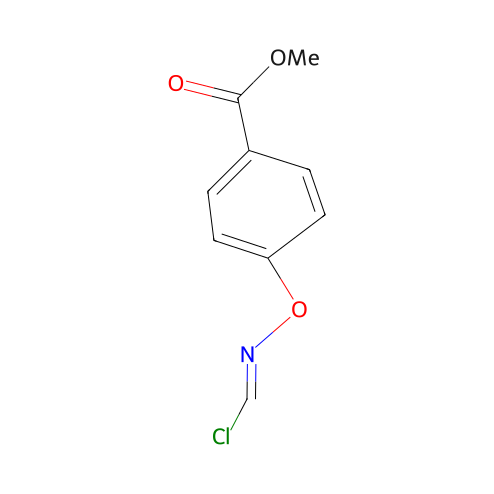 COC(=O)c1ccc(ON=CCl)cc1